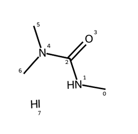 CNC(=O)N(C)C.I